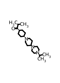 CC(C)C(=O)[C@H]1CC[C@H](N2CCC(N3CCN(C(C)C)CC3)CC2)CC1